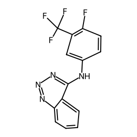 Fc1ccc(Nc2nnnc3ccccc23)cc1C(F)(F)F